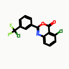 O=c1oc(-c2cccc(C(F)(F)Cl)c2)nc2cccc(Cl)c12